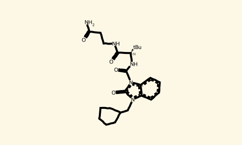 CC(C)(C)[C@H](NC(=O)n1c(=O)n(CC2CCCCC2)c2ccccc21)C(=O)NCCC(N)=O